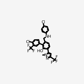 Cn1nc(C(F)(F)F)cc1-c1ccc(CNc2ccc(Cl)cc2)c(-c2ccc(Cl)c(C(F)(F)F)c2)c1O